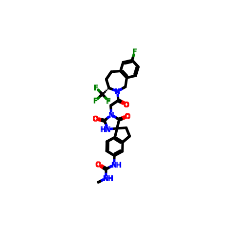 CNC(=O)Nc1ccc2c(c1)CCC21NC(=O)N(CC(=O)N2Cc3ccc(F)cc3CC[C@H]2C(F)(F)F)C1=O